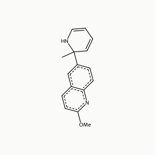 COc1ccc2cc(C3(C)C=CC=CN3)ccc2n1